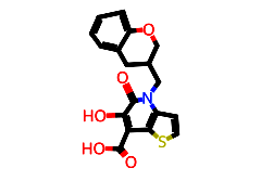 O=C(O)c1c(O)c(=O)n(CC2COc3ccccc3C2)c2ccsc12